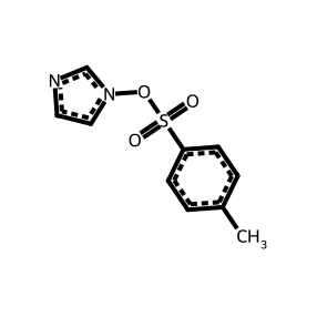 Cc1ccc(S(=O)(=O)On2ccnc2)cc1